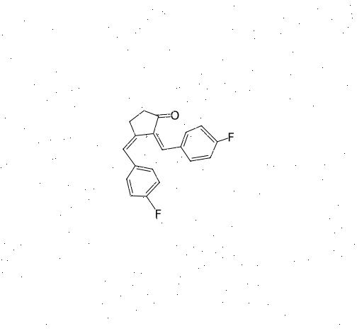 O=C1CCC(=Cc2ccc(F)cc2)C1=Cc1ccc(F)cc1